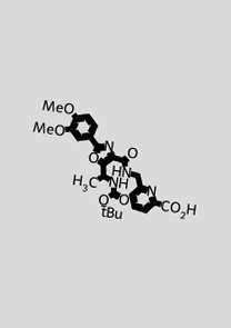 COc1ccc(-c2nc(C(=O)NCc3cccc(C(=O)O)n3)c(C(C)NC(=O)OC(C)(C)C)o2)cc1OC